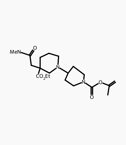 C=C(C)OC(=O)N1CCC(N2CCCC(CC(=O)NC)(C(=O)OCC)C2)CC1